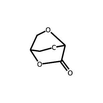 O=C1OC2CCC1OC2